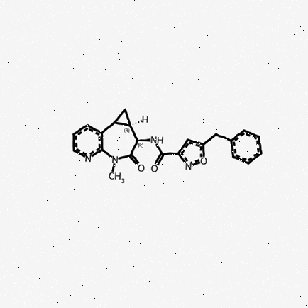 CN1C(=O)[C@H](NC(=O)c2cc(Cc3ccccc3)on2)[C@@H]2CC2c2cccnc21